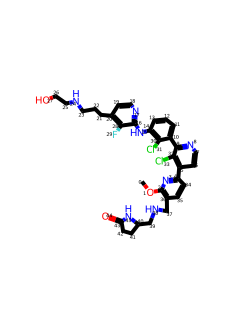 COc1nc(-c2ccnc(-c3cccc(Nc4nccc(CCCNCCO)c4F)c3Cl)c2Cl)ccc1CNCC1CCC(=O)N1